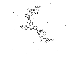 COC(=O)NC(C(=O)N1CCC[C@H]1c1ncc(-c2cc(F)c3c(c2)OC(c2cnc(C4(C)CC4)s2)n2c-3cc3cc(-c4cnc([C@@H]5CCCN5C(=O)C(NC(=O)OC)C(C)C)[nH]4)ccc32)[nH]1)C(C)C